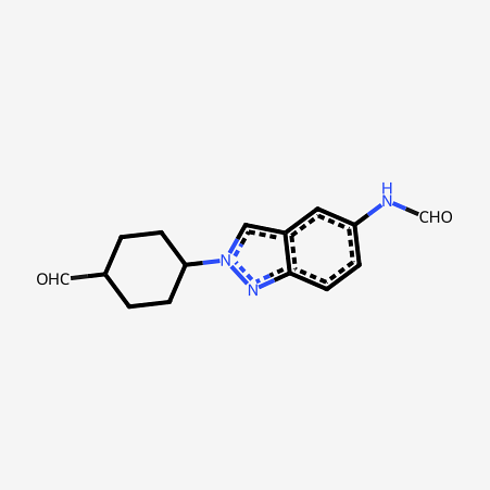 O=CNc1ccc2nn(C3CCC(C=O)CC3)cc2c1